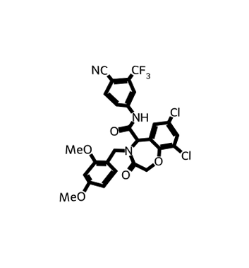 COc1ccc(CN2C(=O)COc3c(Cl)cc(Cl)cc3C2C(=O)Nc2ccc(C#N)c(C(F)(F)F)c2)c(OC)c1